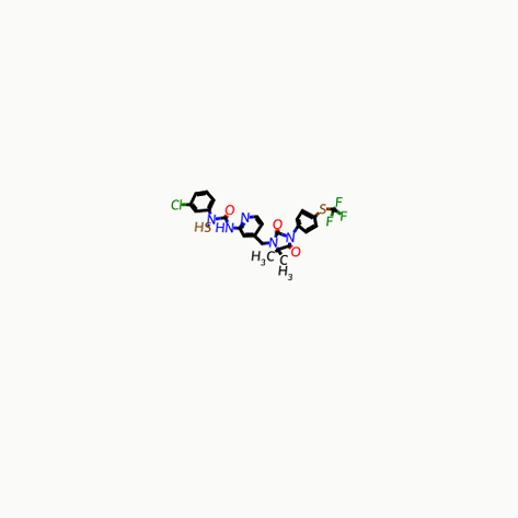 CC1(C)C(=O)N(c2ccc(SC(F)(F)F)cc2)C(=O)N1Cc1ccnc(NC(=O)N(S)c2cccc(Cl)c2)c1